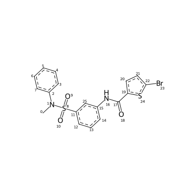 CN(c1ccccc1)S(=O)(=O)c1cccc(NC(=O)c2ccc(Br)s2)c1